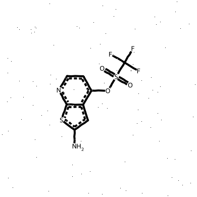 Nc1cc2c(OS(=O)(=O)C(F)(F)F)ccnc2s1